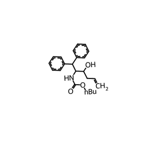 C=CCC(O)C(NC(=O)OCCCC)C(c1ccccc1)c1ccccc1